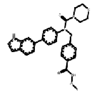 O=C(NOI)c1ccc(CN(C(=O)N2CCOCC2)c2ccc(-c3ccc4cc[nH]c4c3)cc2)cc1